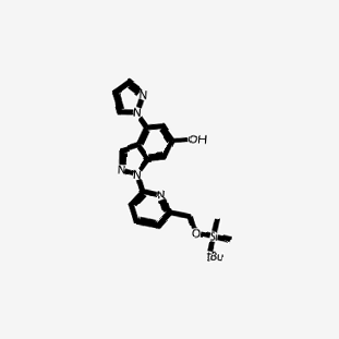 CC(C)(C)[Si](C)(C)OCc1cccc(-n2ncc3c(-n4cccn4)cc(O)cc32)n1